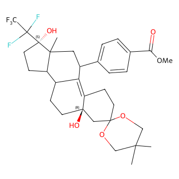 COC(=O)c1ccc(C2CC3(C)C(CC[C@@]3(O)C(F)(F)C(F)(F)F)C3CC[C@@]4(O)CC5(CCC4=C23)OCC(C)(C)CO5)cc1